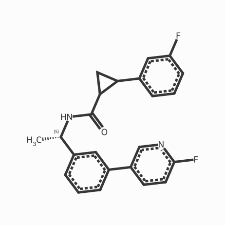 C[C@H](NC(=O)C1CC1c1cccc(F)c1)c1cccc(-c2ccc(F)nc2)c1